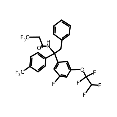 O=C(CC(F)(F)F)NC(Cc1ccccc1)(c1ccc(C(F)(F)F)cc1)c1cc(F)cc(OC(F)(F)C(F)F)c1